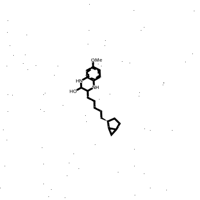 COc1ccc2c(c1)NC(O)C(CCCCC[C@H]1CCC3CC31)N2